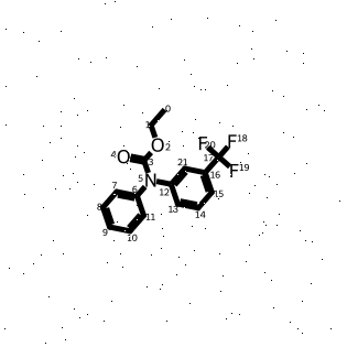 C[CH]OC(=O)N(c1ccccc1)c1cccc(C(F)(F)F)c1